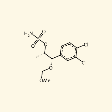 COCO[C@@H](c1ccc(Cl)c(Cl)c1)[C@H](C)OS(N)(=O)=O